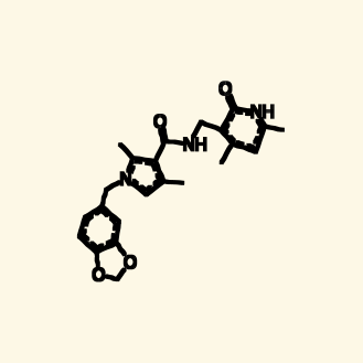 Cc1cc(C)c(CNC(=O)c2c(C)cn(Cc3ccc4c(c3)OCO4)c2C)c(=O)[nH]1